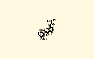 CCCNC(=O)Nc1ccc(F)c(C(O)c2c[nH]c3ncc(OC)cc23)c1F